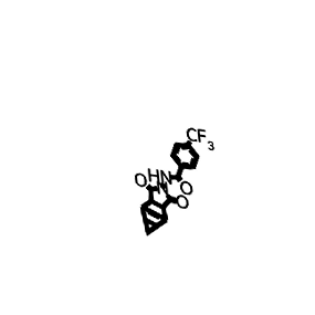 O=C(NN1C(=O)C2C3C=CC(C4CC34)C2C1=O)c1ccc(C(F)(F)F)cc1